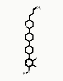 C=CCCC1CCC(C2CCC(C3CCC(c4ccc(OCCC)c(F)c4F)CC3)CC2)OC1